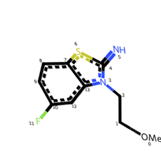 COCCn1c(=N)sc2ccc(F)cc21